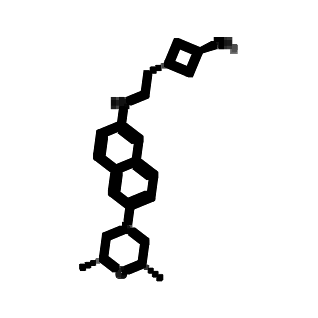 C[C@@H]1CN(c2ccc3cc(NCC[C@H]4C[C@H](N)C4)ccc3c2)C[C@H](C)O1